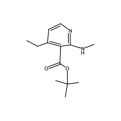 CCc1ccnc(NC)c1C(=O)OC(C)(C)C